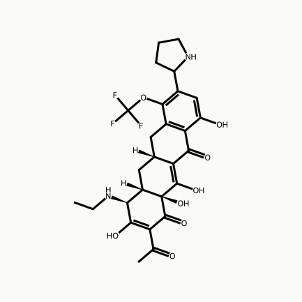 CCN[C@@H]1C(O)=C(C(C)=O)C(=O)[C@@]2(O)C(O)=C3C(=O)c4c(O)cc(C5CCCN5)c(OC(F)(F)F)c4C[C@H]3C[C@@H]12